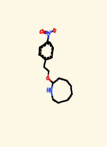 O=[N+]([O-])c1ccc(CCOC2CCCCCCCN2)cc1